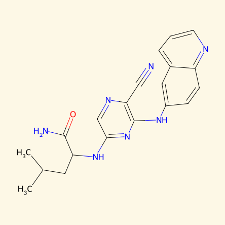 CC(C)CC(Nc1cnc(C#N)c(Nc2ccc3ncccc3c2)n1)C(N)=O